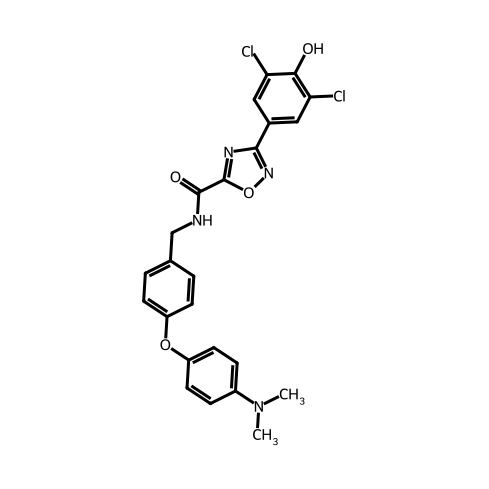 CN(C)c1ccc(Oc2ccc(CNC(=O)c3nc(-c4cc(Cl)c(O)c(Cl)c4)no3)cc2)cc1